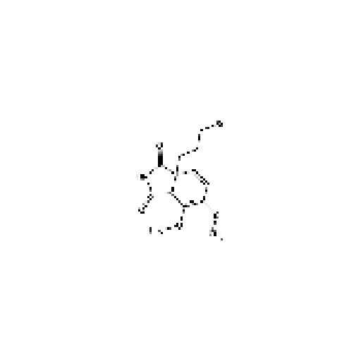 COC1=C(OC)C2C(=O)NC(=O)C2(CCCBr)C=C1